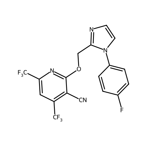 N#Cc1c(C(F)(F)F)cc(C(F)(F)F)nc1OCc1nccn1-c1ccc(F)cc1